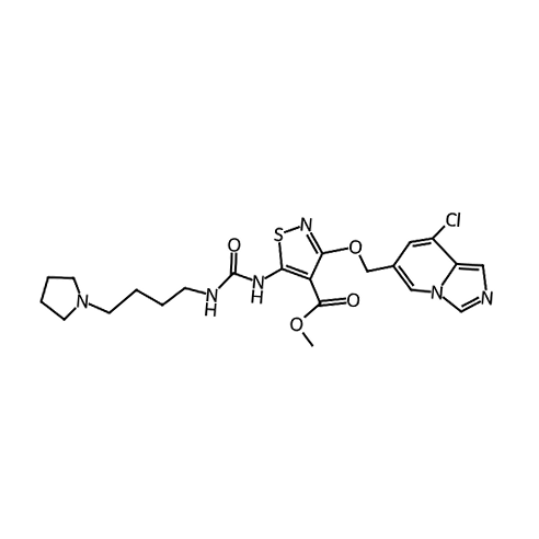 COC(=O)c1c(OCc2cc(Cl)c3cncn3c2)nsc1NC(=O)NCCCCN1CCCC1